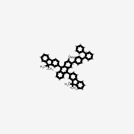 CSc1cc2c(-c3ccc4c(c3)C(C)(C)c3ccccc3-4)c3ccccc3c(-c3ccc4c(c3)C(C)(C)c3ccccc3-4)c2cc1-c1ccc(-c2ccccc2-c2ccccc2)cc1